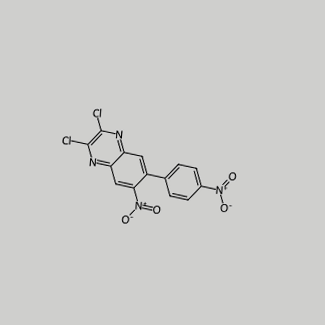 O=[N+]([O-])c1ccc(-c2cc3nc(Cl)c(Cl)nc3cc2[N+](=O)[O-])cc1